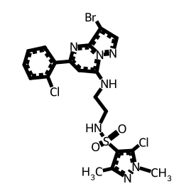 Cc1nn(C)c(Cl)c1S(=O)(=O)NCCNc1cc(-c2ccccc2Cl)nc2c(Br)cnn12